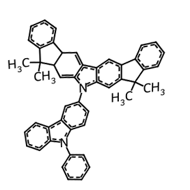 CC1(C)c2ccccc2-c2cc3c4c(n(-c5ccc6c(c5)c5ccccc5n6-c5ccccc5)c3cc21)=CC1C(C=4)c2ccccc2C1(C)C